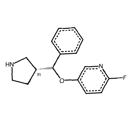 Fc1ccc(OC(c2ccccc2)[C@@H]2CCNC2)cn1